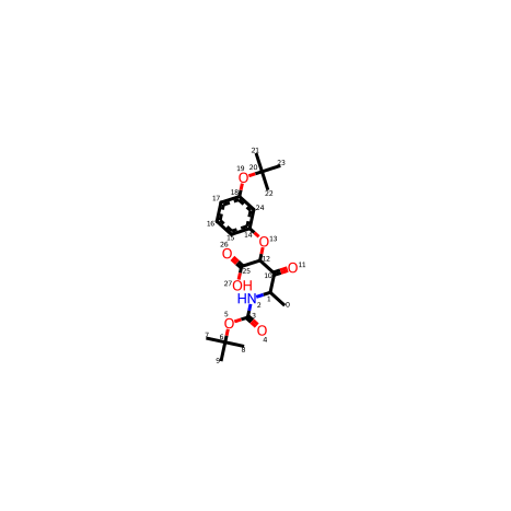 CC(NC(=O)OC(C)(C)C)C(=O)C(Oc1cccc(OC(C)(C)C)c1)C(=O)O